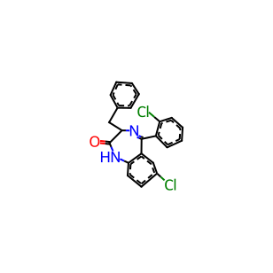 O=C1Nc2ccc(Cl)cc2C(c2ccccc2Cl)=NC1Cc1ccccc1